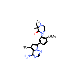 COc1ccc(-c2cc(C#N)c3c(N)ncnn23)cc1N1CCN(C(C)=O)C(C)(C)C1=O